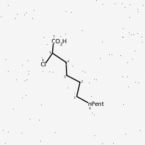 CCCCCCCCCC(Cl)C(=O)O